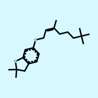 CC(=CCOc1ccc2c(c1)OC(C)(C)C2)CCCC(C)(C)C